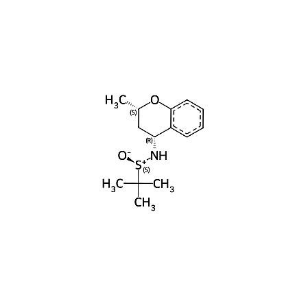 C[C@H]1C[C@@H](N[S@+]([O-])C(C)(C)C)c2ccccc2O1